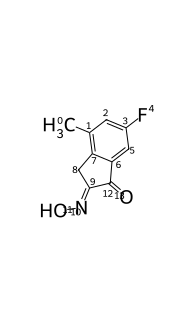 Cc1cc(F)cc2c1CC(=NO)C2=O